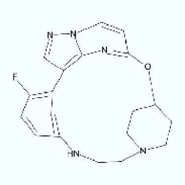 Fc1ccc2cc1-c1cnn3ccc(nc13)OC1CCN(CCN2)CC1